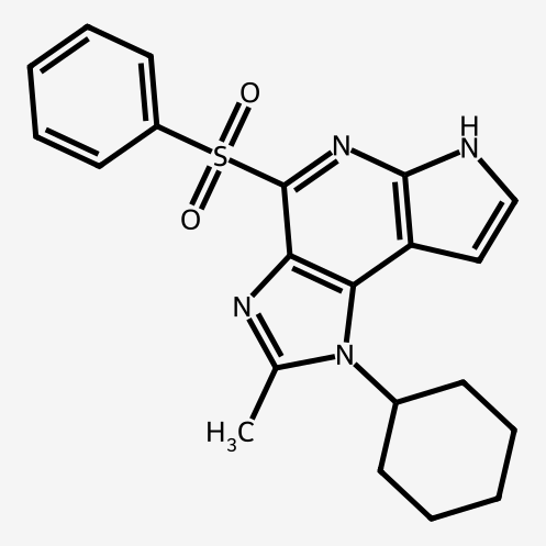 Cc1nc2c(S(=O)(=O)c3ccccc3)nc3[nH]ccc3c2n1C1CCCCC1